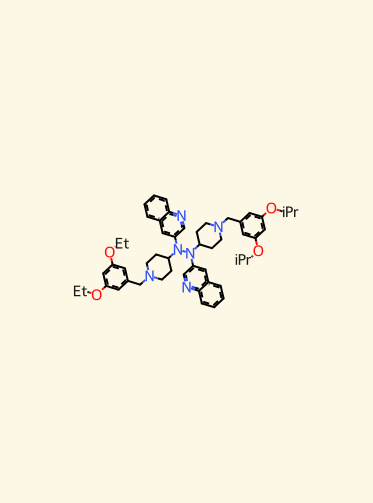 CCOc1cc(CN2CCC(N(c3cnc4ccccc4c3)N(c3cnc4ccccc4c3)C3CCN(Cc4cc(OC(C)C)cc(OC(C)C)c4)CC3)CC2)cc(OCC)c1